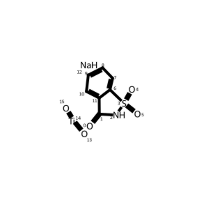 O=C1NS(=O)(=O)c2ccccc21.[NaH].[O]=[Ti]=[O]